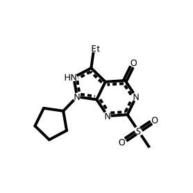 CCc1[nH]n(C2CCCC2)c2nc(S(C)(=O)=O)nc(=O)c1-2